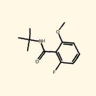 COc1cccc(F)c1C(=O)NC(C)(C)C